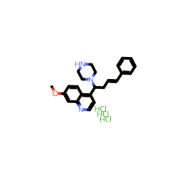 COc1ccc2c(C(C/C=C/c3ccccc3)N3CCNCC3)ccnc2c1.Cl.Cl.Cl